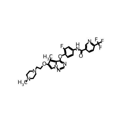 Cc1c(OCCN2CCN(C)CC2)cn2ncnc(Oc3ccc(NC(=O)c4ccc(C(F)(F)F)nc4)cc3F)c12